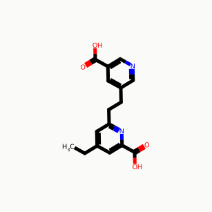 CCc1cc(CCc2cncc(C(=O)O)c2)nc(C(=O)O)c1